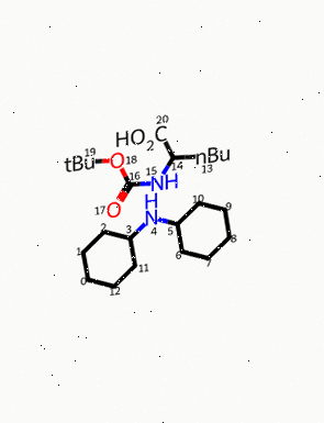 C1CCC(NC2CCCCC2)CC1.CCCCC(NC(=O)OC(C)(C)C)C(=O)O